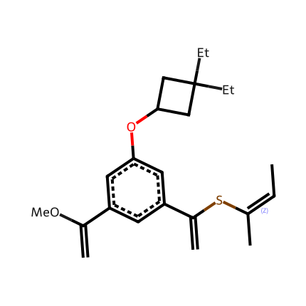 C=C(OC)c1cc(OC2CC(CC)(CC)C2)cc(C(=C)S/C(C)=C\C)c1